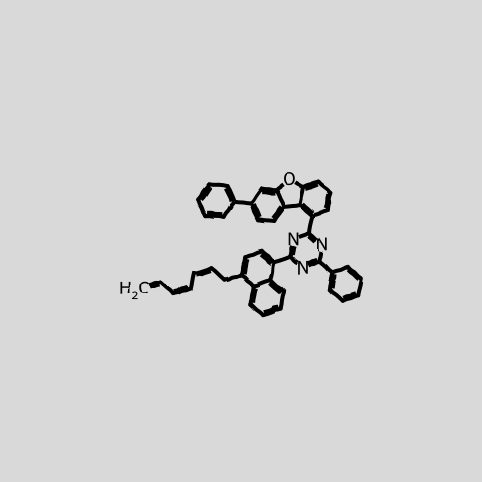 C=C/C=C\C=C/Cc1ccc(-c2nc(-c3ccccc3)nc(-c3cccc4oc5cc(-c6ccccc6)ccc5c34)n2)c2ccccc12